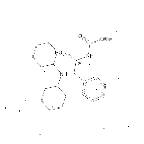 C1CCC(NC2CCCCC2)CC1.COC(=O)N[C@H](Cc1ccccc1)C(=O)O